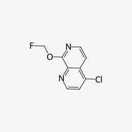 FCOc1nccc2c(Cl)ccnc12